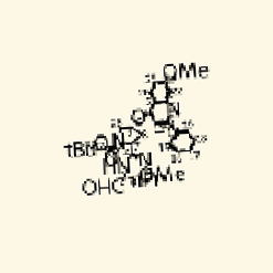 CCC[C@@H](C=O)NC(=NOC)[C@@H]1C[C@@H](Oc2cc(-c3ccccc3)nc3cc(OC)ccc23)CN1C(=O)OC(C)(C)C